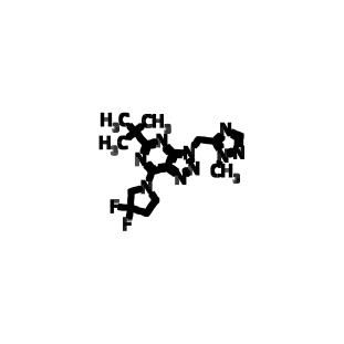 Cn1ncnc1Cn1nnc2c(N3CCC(F)(F)C3)nc(C(C)(C)C)nc21